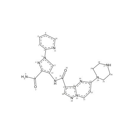 NC(=O)c1nn(-c2ccccn2)cc1NC(=O)c1cnn2ccc(N3CCNCC3)nc12